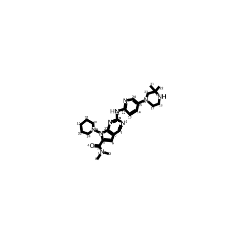 CN(C)C(=O)c1cc2cnc(Nc3ccc(N4CCNC(C)(C)C4)cn3)nc2n1N1CCCCC1